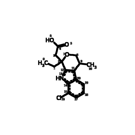 CCC1(CC(=O)O)OCC(C)c2c1[nH]c1c(Cl)cccc21